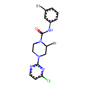 CCc1cccc(NC(=O)N2CCN(c3nccc(Cl)n3)CC2C(C)C)c1